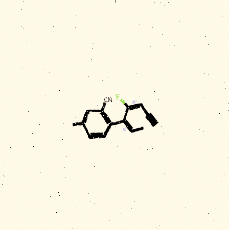 C#C/C=C(F)\C(=C/C)c1ccc(C)cc1C#N